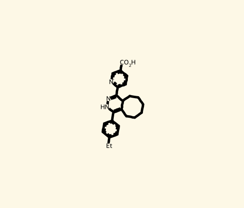 CCc1ccc(C2=C3CCCCCCC3C(c3ccc(C(=O)O)cn3)=NN2)cc1